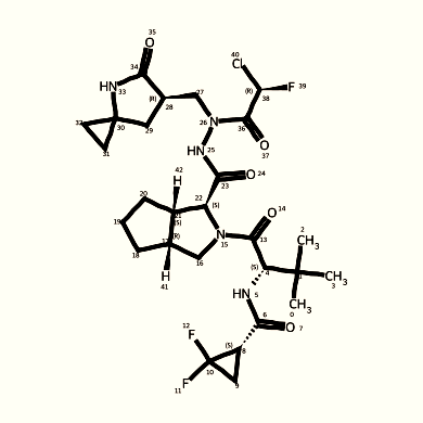 CC(C)(C)[C@H](NC(=O)[C@@H]1CC1(F)F)C(=O)N1C[C@@H]2CCC[C@@H]2[C@H]1C(=O)NN(C[C@H]1CC2(CC2)NC1=O)C(=O)[C@H](F)Cl